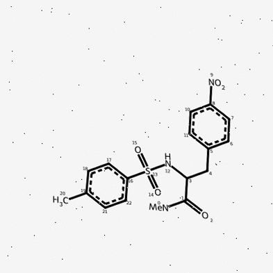 CNC(=O)C(Cc1ccc([N+](=O)[O-])cc1)NS(=O)(=O)c1ccc(C)cc1